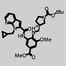 COC(=O)c1cc(NC(=O)c2cc3cccnc3n2CC2CC2)c(NC[C@H]2CCN(C(=O)OC(C)(C)C)C2)c(OC)c1